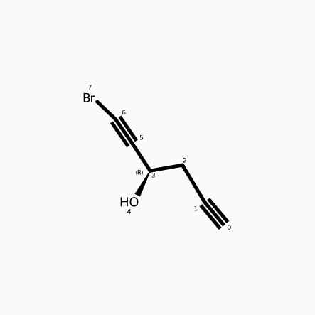 C#CC[C@@H](O)C#CBr